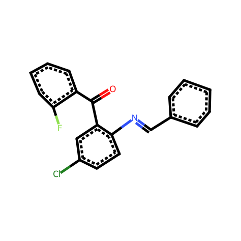 O=C(c1ccccc1F)c1cc(Cl)ccc1N=Cc1ccccc1